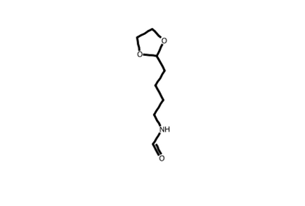 O=CNCCCCC1OCCO1